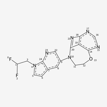 FC(F)Cn1ccc2cc(N3CCOc4ncnc5c4C3=N5)cnc21